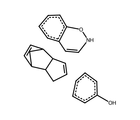 C1=CC2C3C=CC(C3)C2C1.C1=Cc2ccccc2ON1.Oc1ccccc1